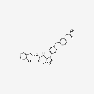 Cc1onc(-c2ccc(Cc3cccc(CC(=O)O)c3)cc2)c1NC(=O)OCCc1ccccc1Cl